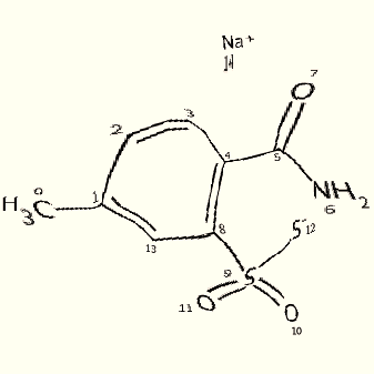 Cc1ccc(C(N)=O)c(S(=O)(=O)[S-])c1.[Na+]